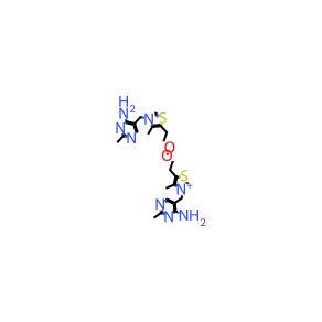 Cc1ncc(C[n+]2csc(CCOOCCc3sc[n+](Cc4cnc(C)nc4N)c3C)c2C)c(N)n1